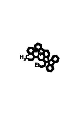 C/C=C\C(=C1/CC2=C(/C=C\CC)C3(c4ccccc4-c4ccccc43)c3ccc4c5ccccc5n1c4c32)c1ccccc1Br